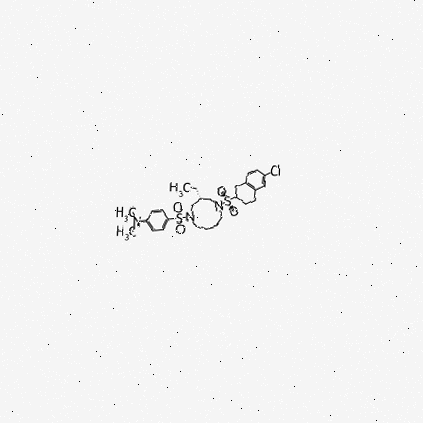 CC[C@H]1CN(S(=O)(=O)c2ccc(N(C)C)cc2)CCCCN(S(=O)(=O)C2CCc3cc(Cl)ccc3C2)C1